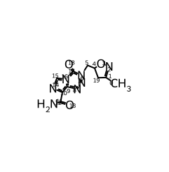 CC1=NOC(Cn2nnc3c(C(N)=O)ncn3c2=O)C1